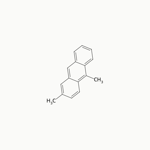 Cc1ccc2c(C)c3ccccc3cc2c1